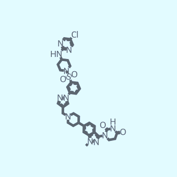 Cn1nc(N2CCC(=O)NC2=O)c2ccc(C3CCN(Cc4cnn(-c5cccc(S(=O)(=O)N6CCC(Nc7ncc(Cl)cn7)CC6)c5)c4)CC3)cc21